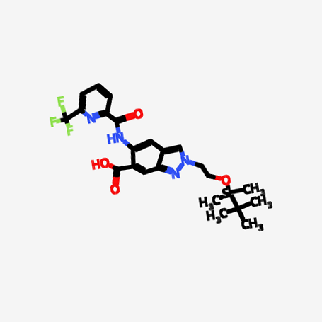 CC(C)(C)[Si](C)(C)OCCn1cc2cc(NC(=O)c3cccc(C(F)(F)F)n3)c(C(=O)O)cc2n1